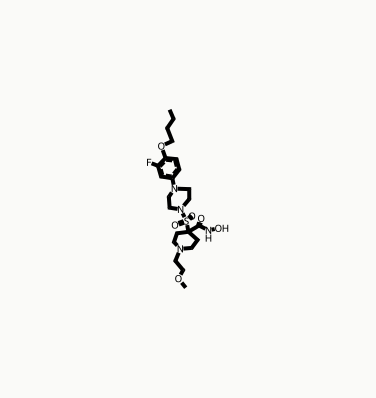 CCCCOc1ccc(N2CCN(S(=O)(=O)C3(C(=O)NO)CCN(CCOC)CC3)CC2)cc1F